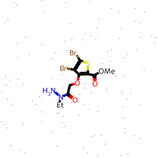 CCN(N)C(=O)COc1c(C(=O)OC)sc(Br)c1Br